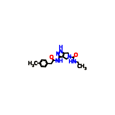 CCNC(=O)N1Cc2[nH]nc(NC(=O)Cc3ccc(C)cc3)c2C1